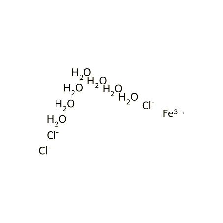 O.O.O.O.O.O.O.[Cl-].[Cl-].[Cl-].[Fe+3]